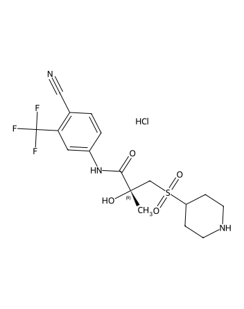 C[C@](O)(CS(=O)(=O)C1CCNCC1)C(=O)Nc1ccc(C#N)c(C(F)(F)F)c1.Cl